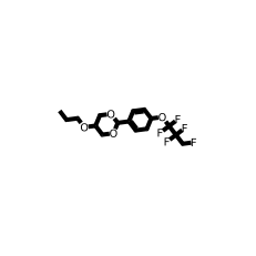 CCCOC1COC(C2=CCC(OC(F)(F)C(F)(F)CF)C=C2)OC1